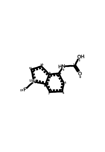 O=C(O)Nc1cccc2c1ccn2F